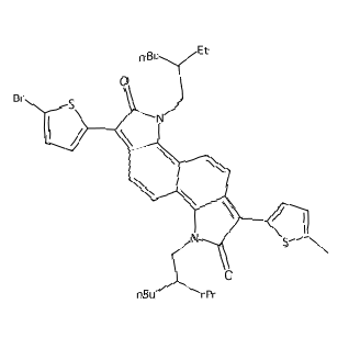 CCCCC(CCC)CN1C(=O)C(c2ccc(C)s2)=c2ccc3c4c(ccc3c21)=C(c1ccc(Br)s1)C(=O)N4CC(CC)CCCC